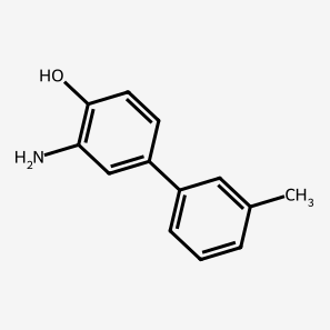 Cc1cccc(-c2ccc(O)c(N)c2)c1